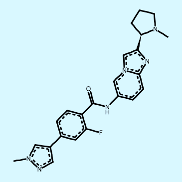 CN1CCC[C@@H]1c1cn2cc(NC(=O)c3ccc(-c4cnn(C)c4)cc3F)ccc2n1